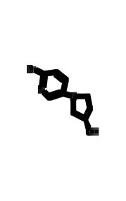 O[C@@H]1CCN(c2ccc(Br)nc2)C1